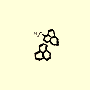 C1=Cc2cccc3cccc(c23)C1.Cc1ccc2cccc3c2c1C=CC3